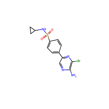 Nc1ncc(-c2ccc(S(=O)(=O)NC3CC3)cc2)nc1Br